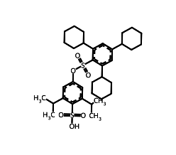 CC(C)c1cc(OS(=O)(=O)c2c(C3CCCCC3)cc(C3CCCCC3)cc2C2CCCCC2)cc(C(C)C)c1S(=O)(=O)O